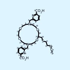 O=C(O)c1cccc(CN2CCOCCOCCN(Cc3cccc(C(=O)O)n3)CCOC(CSCCN=C=S)COCC2)n1